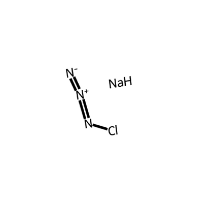 [N-]=[N+]=NCl.[NaH]